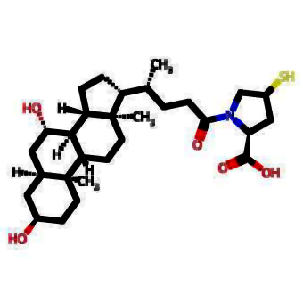 C[C@H](CCC(=O)N1CC(S)C[C@H]1C(=O)O)[C@H]1CC[C@H]2[C@@H]3[C@@H](O)C[C@@H]4C[C@H](O)CC[C@]4(C)[C@H]3CC[C@]12C